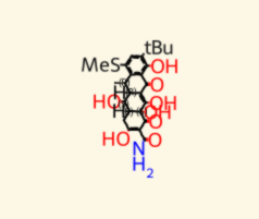 CSc1cc(C(C)(C)C)c(O)c2c1[C@H](C)[C@@H]1C(=C(O)[C@]3(O)C(=O)C(C(N)=O)=C(O)C[C@@H]3[C@H]1O)C2=O